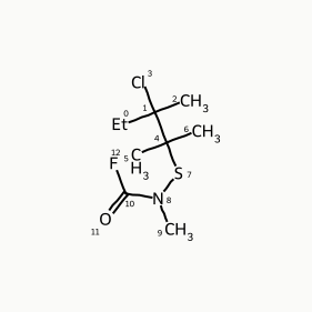 CCC(C)(Cl)C(C)(C)SN(C)C(=O)F